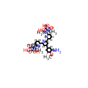 COc1ccc(-c2cc(-c3cccc(N(C)[N+](C)(C(=O)O)C(=O)O)n3)nc(-c3cccc(N(C)[N+](C)(C(=O)O)C(=O)O)n3)c2)cc1N